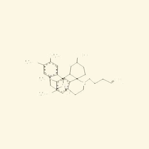 C=CCCCN1CCc2cc(OC)c(OC)cc2C12CCC(C=O)CC2C1c2cc(OC)c(OC)cc2CCN1CC